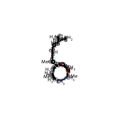 CO[C@H]1C[C@@H]2CC[C@@H](C)[C@@](O)(O2)C(=O)C(=O)N2CCCC[C@H]2C(=O)O[C@H]([C@@H](C)C[C@H]2CC[C@@H](OCCOCNC(=O)OCc3ccc(NC(=O)[C@H](CCCNC(N)=O)NC(=O)[C@@H](N)C(C)C)cc3)[C@H](OC)C2)CC(=O)[C@H](C)/C=C(\C)[C@@H](O)[C@@H](OC)C(=O)[C@H](C)C[C@H](C)/C=C/C=C/C=C/1C